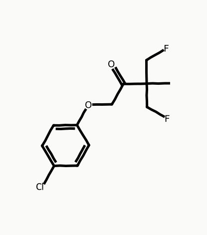 CC(CF)(CF)C(=O)COc1ccc(Cl)cc1